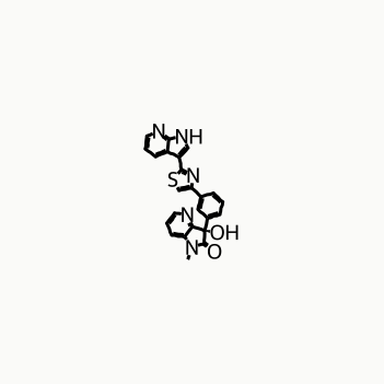 CN1C(=O)[C@@](O)(c2cccc(-c3csc(-c4c[nH]c5ncccc45)n3)c2)c2ncccc21